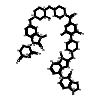 Cc1cc(C(=O)N2CCC(CN3CCN(Cc4ccc5c(c4)n(C)c(=O)n5[C@H]4CCC(=O)NC4=O)C[C@@H]3C)CC2)cc(F)c1C1=CCN(Cc2cc3c(-n4ccc5c(c4=O)CCN5)ccnc3n2C)CC1